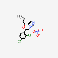 CCCCOC(=Cn1ccnc1)c1ccc(Cl)cc1Cl.O=[N+]([O-])O